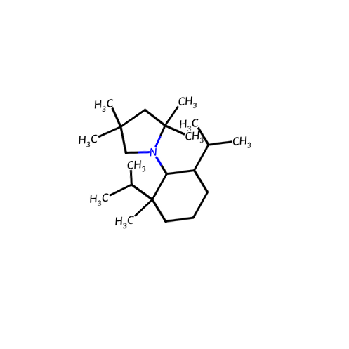 CC(C)C1CCCC(C)(C(C)C)C1N1CC(C)(C)CC1(C)C